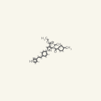 CCOC(=O)c1cn(-c2ccc(C=Cc3cc[nH]n3)cc2)nc1N(C(=O)C1CCC(C)CC1)C(C)C